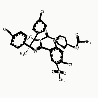 CCOc1cc(Cl)c(S(C)(=O)=O)cc1C1=N[C@@](C)(c2ccc(Cl)cc2)[C@@](C)(c2ccc(Cl)cc2)N1C(=O)N1CCC(NC(N)=O)CC1